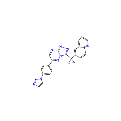 c1cnc2ccc(C3(c4nnc5ncc(-c6ccc(-n7ccnc7)cc6)nn45)CC3)cc2c1